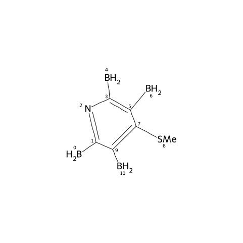 Bc1nc(B)c(B)c(SC)c1B